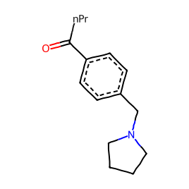 CCCC(=O)c1ccc(CN2CCCC2)cc1